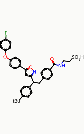 CC(C)(C)c1ccc(C(Cc2ccc(C(=O)NCCS(=O)(=O)O)cc2)c2cc(-c3ccc(Oc4ccc(F)cc4)cc3)on2)cc1